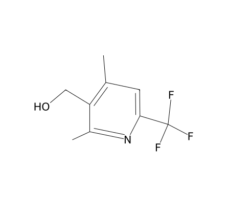 Cc1cc(C(F)(F)F)nc(C)c1CO